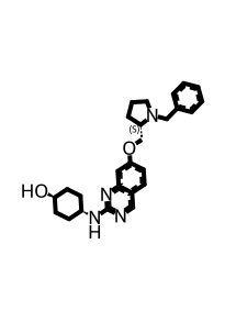 O[C@H]1CC[C@H](Nc2ncc3ccc(OC[C@@H]4CCCN4Cc4ccccc4)cc3n2)CC1